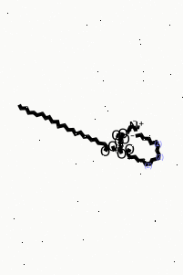 CCCCC/C=C\C/C=C\C/C=C\CCCCC(=O)O[C@H](COC(=O)CCCCCCCCCCCCCCCCCCCCCCC)COP(=O)([O-])OCC[N+](C)(C)C